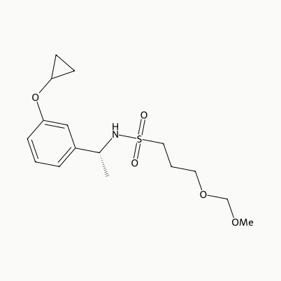 COCOCCCS(=O)(=O)N[C@H](C)c1cccc(OC2CC2)c1